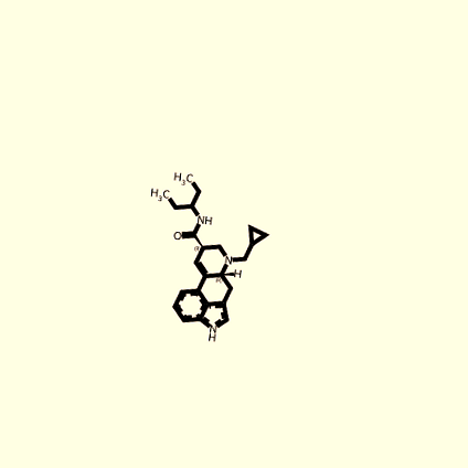 CCC(CC)NC(=O)[C@@H]1C=C2c3cccc4[nH]cc(c34)C[C@H]2N(CC2CC2)C1